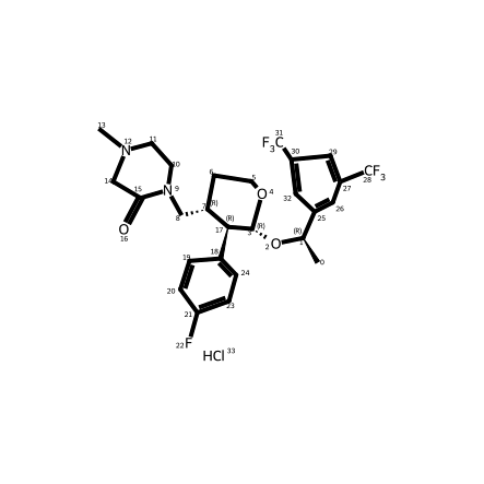 C[C@@H](O[C@H]1OCC[C@@H](CN2CCN(C)CC2=O)[C@@H]1c1ccc(F)cc1)c1cc(C(F)(F)F)cc(C(F)(F)F)c1.Cl